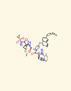 C=C[C@@H]1C[C@]1(NC(=O)[C@@H]1C[C@@H](Oc2nccc3cc(OC)ccc23)CN1C(=O)[C@@H](NC1=NCCCS1)C(C)(C)C)C(=O)NS(=O)(=O)C1CC1